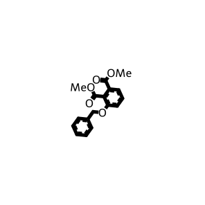 COC(=O)c1cccc(OCc2ccccc2)c1C(=O)OC